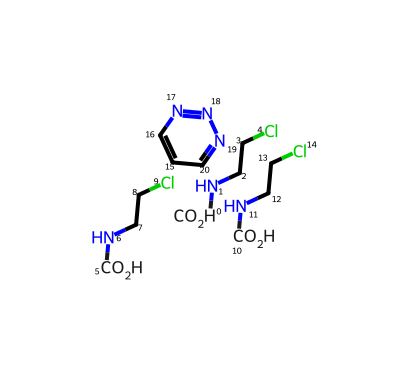 O=C(O)NCCCl.O=C(O)NCCCl.O=C(O)NCCCl.c1cnnnc1